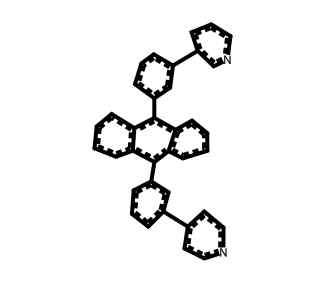 c1cncc(-c2cccc(-c3c4ccccc4c(-c4cccc(-c5ccncc5)c4)c4ccccc34)c2)c1